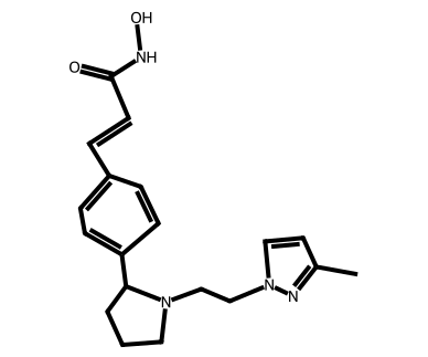 Cc1ccn(CCN2CCCC2c2ccc(/C=C/C(=O)NO)cc2)n1